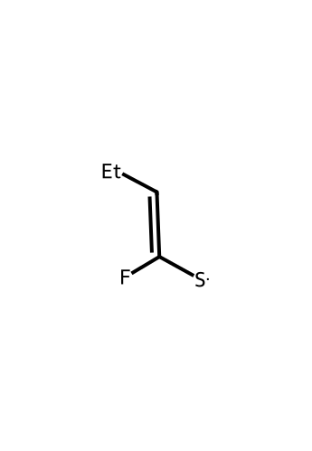 CC/C=C(\F)[S]